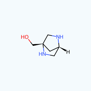 OC[C@]12CN[C@H](CN1)C2